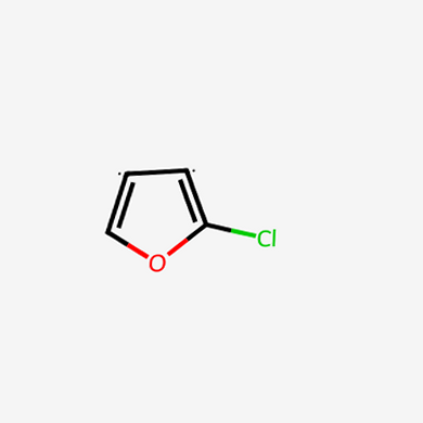 Clc1[c][c]co1